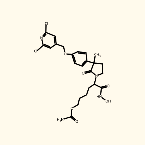 CC1(c2ccc(OCc3cc(Cl)nc(Cl)c3)cc2)CCN(C(CCCCOC(N)=O)C(=O)NO)C1=O